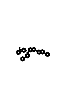 c1ccc(-c2cccc(N(c3ccc4ccc(-c5ccc6cc(-c7ccccc7)ccc6c5)cc4c3)c3ccc4sc5ccccc5c4c3)c2)cc1